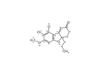 CCCC12CCC(=O)C=C1c1c(cc(OC)c(Cl)c1Cl)O2